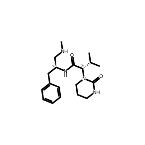 CNC[C@H](Cc1ccccc1)NC(=O)[C@H](C(C)C)N1CCCNC1=O